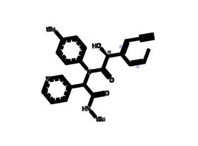 C#C/C=C(\C=C/C)[C@H](O)C(=O)N(c1ccc(C(C)(C)C)cc1)C(C(=O)NC(C)(C)C)c1cccnc1